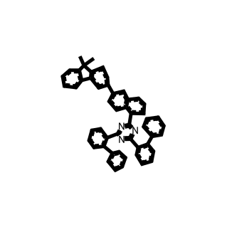 CC1(C)c2ccccc2-c2cc(-c3ccc4c(-c5nc(-c6ccccc6-c6ccccc6)nc(-c6ccccc6-c6ccccc6)n5)cccc4c3)ccc21